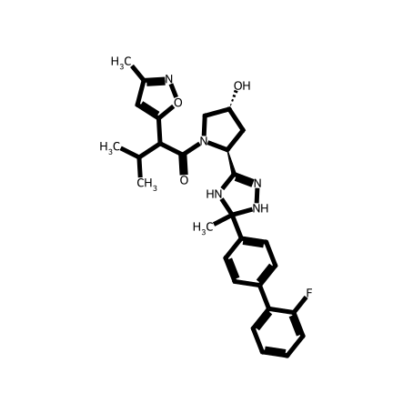 Cc1cc(C(C(=O)N2C[C@H](O)C[C@H]2C2=NNC(C)(c3ccc(-c4ccccc4F)cc3)N2)C(C)C)on1